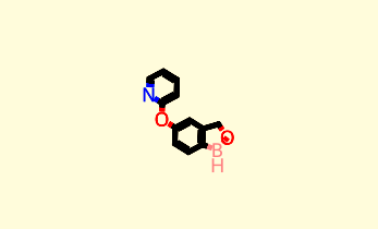 B1OCc2cc(Oc3ccccn3)ccc21